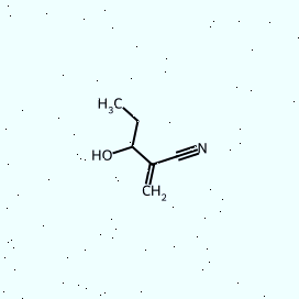 C=C(C#N)C(O)CC